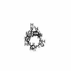 NC(=O)[C@H]1[C@@H]2C[C@H]3CNC(=O)Cn4cnc(c4)Nc4ncc(F)c(n4)N[C@@H]1[C@@H]3C2